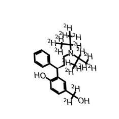 [2H]C([2H])(O)c1ccc(O)c([C@H](CCN(C([2H])(C([2H])([2H])[2H])C([2H])([2H])[2H])C([2H])(C([2H])([2H])[2H])C([2H])([2H])[2H])c2ccccc2)c1